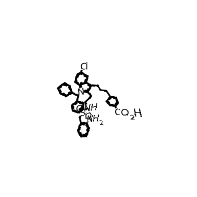 Nc1ccccc1CS(=O)(=O)NCCc1c(CCCc2ccc(C(=O)O)cc2)c2cc(Cl)ccc2n1C(c1ccccc1)c1ccccc1